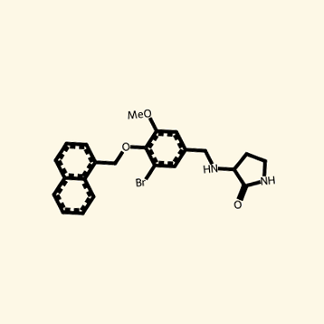 COc1cc(CNC2CCNC2=O)cc(Br)c1OCc1cccc2ccccc12